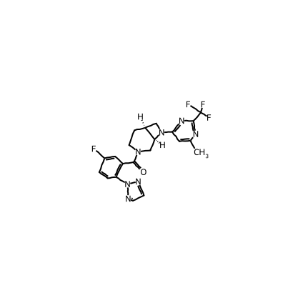 Cc1cc(N2C[C@@H]3CCN(C(=O)c4cc(F)ccc4-n4nccn4)C[C@@H]32)nc(C(F)(F)F)n1